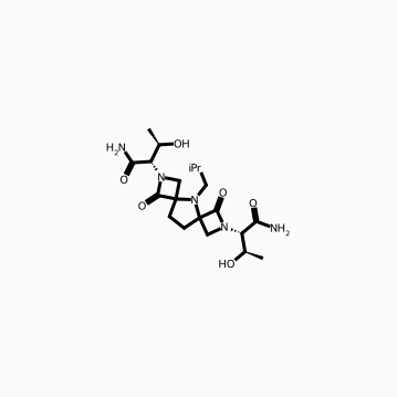 CC(C)CN1C2(CCC13CN([C@H](C(N)=O)[C@@H](C)O)C3=O)CN([C@H](C(N)=O)[C@@H](C)O)C2=O